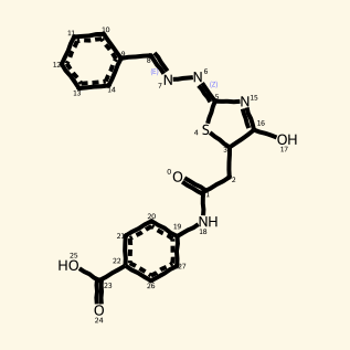 O=C(CC1S/C(=N\N=C\c2ccccc2)N=C1O)Nc1ccc(C(=O)O)cc1